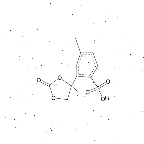 Cc1ccc(S(=O)(=O)O)c(C2(C)COC(=O)O2)c1